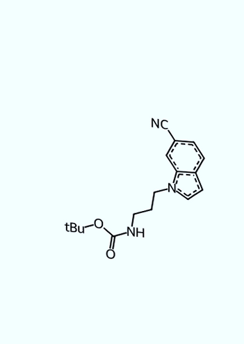 CC(C)(C)OC(=O)NCCCn1ccc2ccc(C#N)cc21